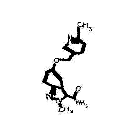 Cc1ccc(COc2ccc3nn(C)c(C(N)=O)c3c2)cn1